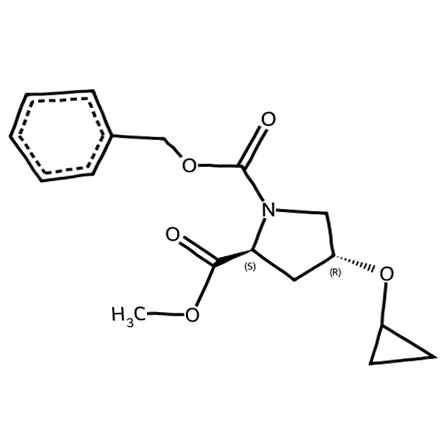 COC(=O)[C@@H]1C[C@@H](OC2CC2)CN1C(=O)OCc1ccccc1